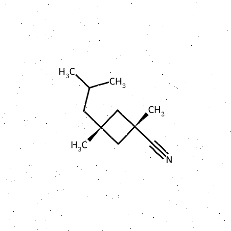 CC(C)C[C@]1(C)C[C@](C)(C#N)C1